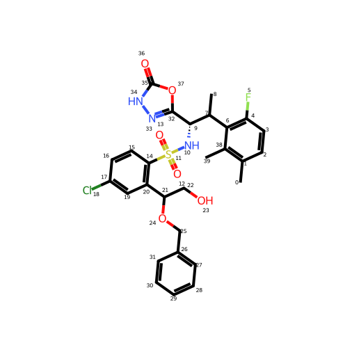 Cc1ccc(F)c(C(C)[C@H](NS(=O)(=O)c2ccc(Cl)cc2C(CO)OCc2ccccc2)c2n[nH]c(=O)o2)c1C